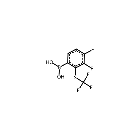 OB(O)c1ccc(F)c(F)c1SC(F)(F)F